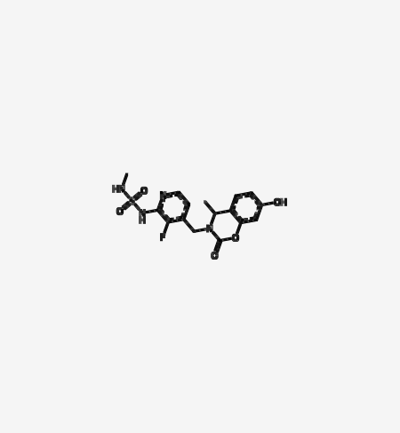 CNS(=O)(=O)Nc1nccc(CN2C(=O)Oc3cc(O)ccc3C2C)c1F